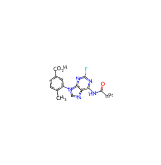 CCCC(=O)Nc1nc(F)nc2c1ncn2-c1cc(C(=O)O)ccc1C